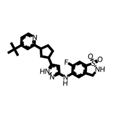 CC(C)(C)c1ccnc(C2CCC(c3cc(Nc4cc5c(cc4F)S(=O)(=O)NC5)n[nH]3)C2)c1